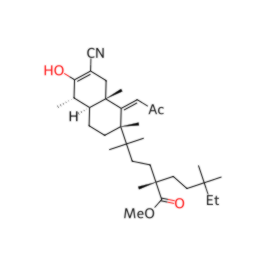 CCC(C)(C)CC[C@@](C)(CCC(C)(C)[C@]1(C)CC[C@H]2[C@H](C)C(O)=C(C#N)C[C@]2(C)/C1=C/C(C)=O)C(=O)OC